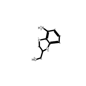 Nc1cccc2c1OCC(CO)O2